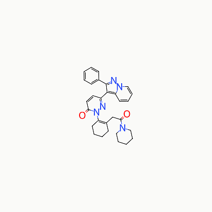 O=C(CC1=C(n2nc(-c3c(-c4ccccc4)nn4ccccc34)ccc2=O)CCCC1)N1CCCCC1